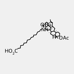 C=C(C)[C@@H]1CC[C@]2(C(=O)NCCCCCCCCCCCCCCCC(=O)O)CC[C@]3(C)[C@H](CCC4[C@@]5(C)CC[C@H](OC(C)=O)C(C)(C)[C@@H]5CC[C@]43C)[C@@H]12